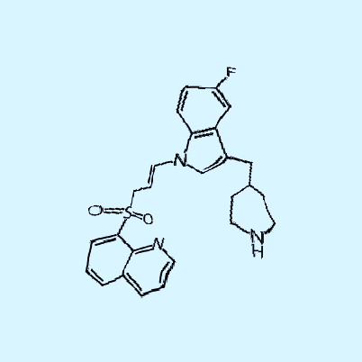 O=S(=O)(CC=Cn1cc(CC2CCNCC2)c2cc(F)ccc21)c1cccc2cccnc12